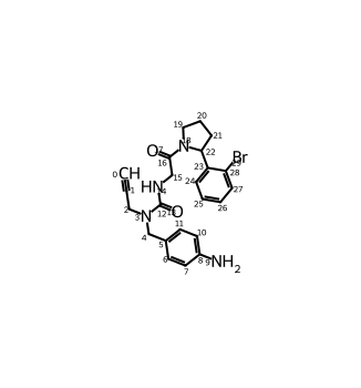 C#CCN(Cc1ccc(N)cc1)C(=O)NCC(=O)N1CCCC1c1ccccc1Br